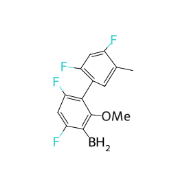 Bc1c(F)cc(F)c(-c2cc(C)c(F)cc2F)c1OC